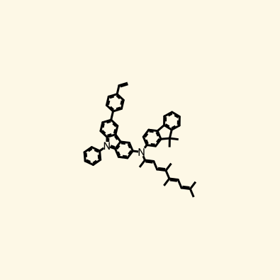 C=Cc1ccc(-c2ccc3c(c2)c2cc(N(/C(C)=C/C=C(C)/C(C)=C/C=C(C)C)c4ccc5c(c4)C(C)(C)c4ccccc4-5)ccc2n3-c2ccccc2)cc1